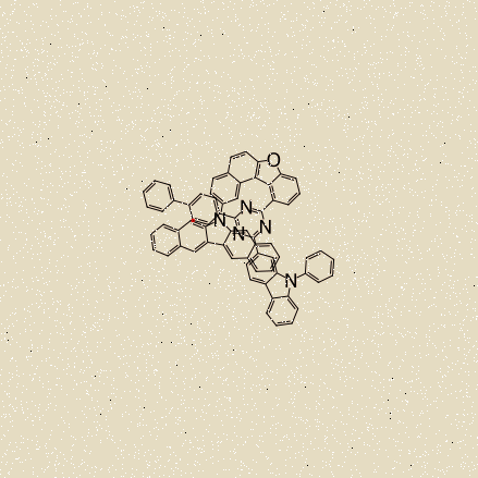 c1ccc(-c2ccc(-c3nc(-c4ccc5c6ccccc6n(-c6ccccc6)c5c4)nc(-c4cccc5oc6ccc7ccc(-n8c9cc%10ccccc%10cc9c9cc%10ccccc%10cc98)cc7c6c45)n3)cc2)cc1